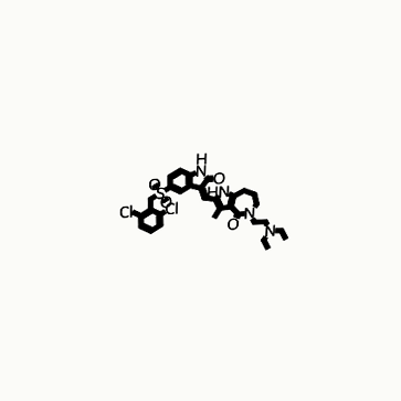 CCN(CC)CCN1CCCc2[nH]c(C=C3C(=O)Nc4ccc(S(=O)(=O)Cc5c(Cl)cccc5Cl)cc43)c(C)c2C1=O